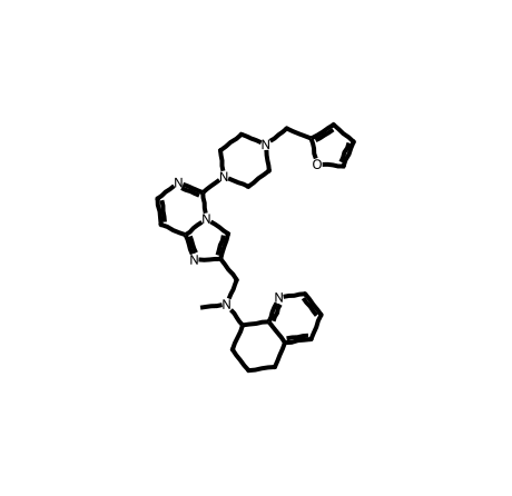 CN(Cc1cn2c(N3CCN(Cc4ccco4)CC3)nccc2n1)C1CCCc2cccnc21